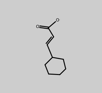 [O]C(=O)C=CC1CCCCC1